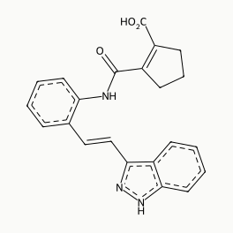 O=C(O)C1=C(C(=O)Nc2ccccc2/C=C/c2n[nH]c3ccccc23)CCC1